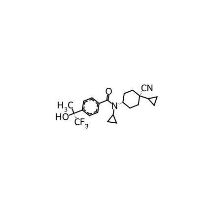 C[C@](O)(c1ccc(C(=O)N(C2CC2)[C@H]2CC[C@](C#N)(C3CC3)CC2)cc1)C(F)(F)F